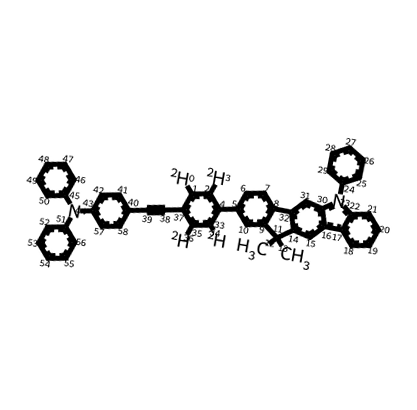 [2H]c1c([2H])c(-c2ccc3c(c2)C(C)(C)c2cc4c5ccccc5n(-c5ccccc5)c4cc2-3)c([2H])c([2H])c1C#Cc1ccc(N(c2ccccc2)c2ccccc2)cc1